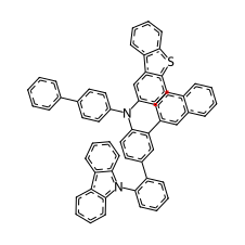 c1ccc(-c2ccc(N(c3ccc4sc5ccccc5c4c3)c3ccc(-c4ccccc4-n4c5ccccc5c5ccccc54)cc3-c3ccc4ccccc4c3)cc2)cc1